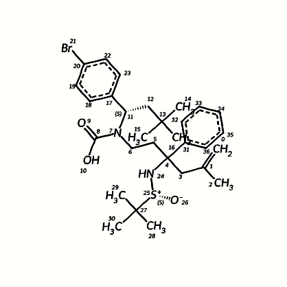 C=C(C)CC(CCN(C(=O)O)[C@@H](CC(C)(C)C)c1ccc(Br)cc1)(N[S@+]([O-])C(C)(C)C)c1ccccc1